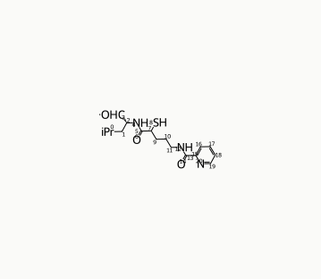 CC(C)C[C@@H]([C]=O)NC(=O)C(S)CCCNC(=O)c1ccccn1